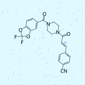 N#Cc1ccc(/C=C/C(=O)N2CCN(C(=O)c3ccc4c(c3)OC(F)(F)O4)CC2)cc1